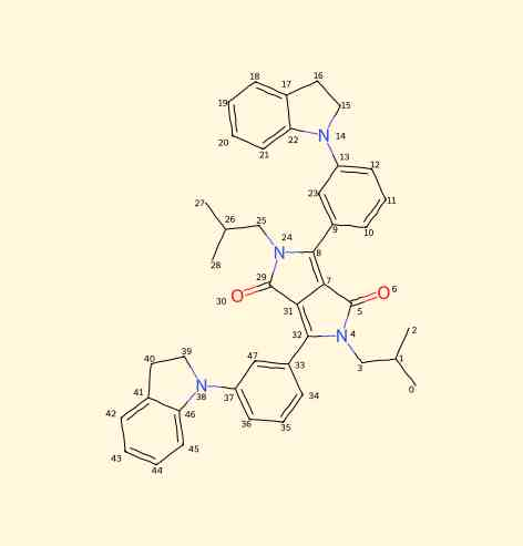 CC(C)CN1C(=O)C2=C(c3cccc(N4CCc5ccccc54)c3)N(CC(C)C)C(=O)C2=C1c1cccc(N2CCc3ccccc32)c1